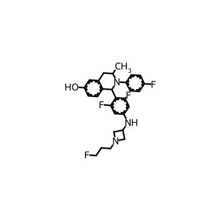 CC1Cc2cc(O)ccc2C(c2c(F)cc(NC3CN(CCCF)C3)cc2F)N1c1ccc(F)cc1